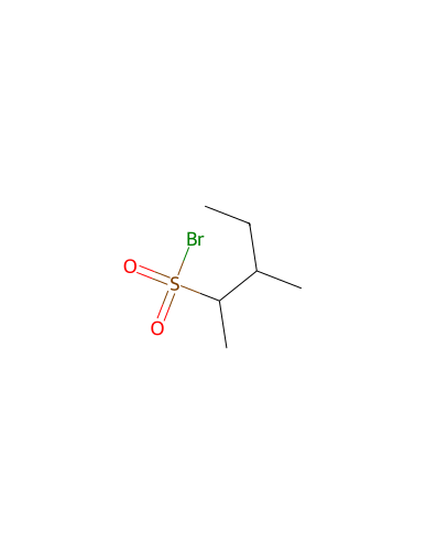 CCC(C)C(C)S(=O)(=O)Br